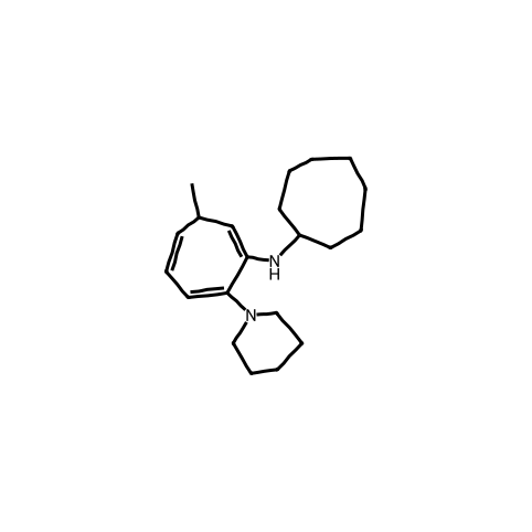 CC1C=CC=C(N2CCCCC2)C(NC2CCCCCCC2)=C1